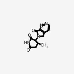 CC1CC(=O)NC(=O)C1N1Cc2ccnnc2C1=O